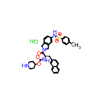 Cc1ccc(S(=O)(=O)Nc2ccc3c(c2)CN(C(=O)[C@@H](Cc2ccc4ccccc4c2)NC(=O)OC2CCNCC2)C3)cc1.Cl